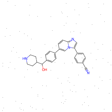 N#Cc1ccc(-c2cnc3ccc(-c4ccc(C(O)C5CCNCC5)cc4)cn23)cc1